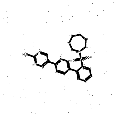 Nc1ncc(-c2ccc(-c3ccccc3S(=O)(=O)N3CCCCCC3)cn2)cn1